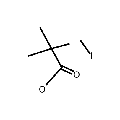 CC(C)(C)C([O])=O.CI